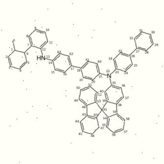 CC1C=CC=CC1c1ccccc1Nc1ccc(-c2ccc(N(c3ccc(-c4ccccc4)cc3)c3ccc4c(c3)C3(C5=C(C=CCC5)c5ccccc53)c3ccccc3-4)cc2)cc1